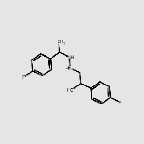 CC(NNCC(O)c1ccc(F)cc1)c1ccc(F)cc1